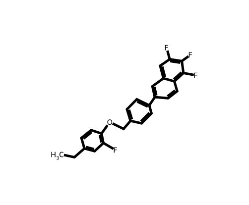 CCc1ccc(OCc2ccc(-c3ccc4c(F)c(F)c(F)cc4c3)cc2)c(F)c1